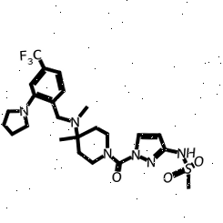 CN(Cc1ccc(C(F)(F)F)cc1N1CCCC1)C1(C)CCN(C(=O)n2ccc(NS(C)(=O)=O)n2)CC1